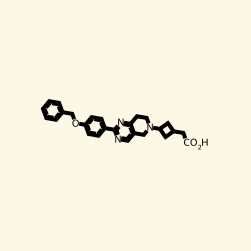 O=C(O)CC1CC(N2CCc3nc(-c4ccc(OCc5ccccc5)cc4)ncc3C2)C1